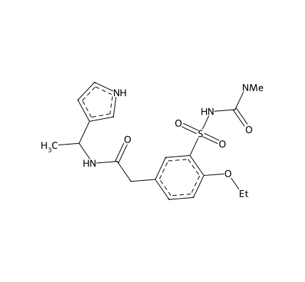 CCOc1ccc(CC(=O)NC(C)c2cc[nH]c2)cc1S(=O)(=O)NC(=O)NC